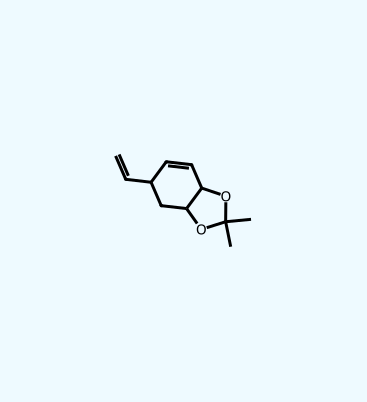 C=CC1C=CC2OC(C)(C)OC2C1